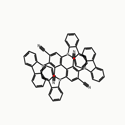 N#Cc1cc(-n2c3ccccc3c3ccccc32)c(-c2c(-n3c4ccccc4c4ccccc43)cc(C#N)c(-n3c4ccccc4c4ccccc43)c2C#N)c(C#N)c1-n1c2ccccc2c2ccccc21